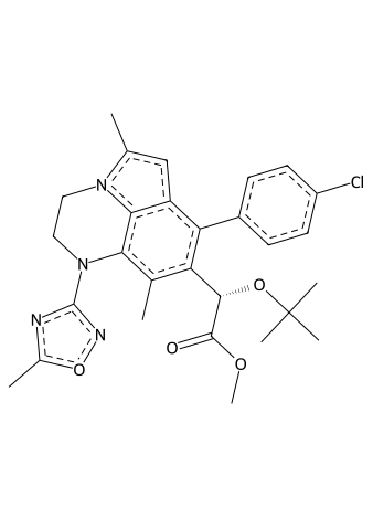 COC(=O)[C@@H](OC(C)(C)C)c1c(C)c2c3c(cc(C)n3CCN2c2noc(C)n2)c1-c1ccc(Cl)cc1